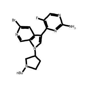 CCCCN1CCC(n2cc(-c3nc(N)ncc3F)c3cc(Br)ncc32)C1